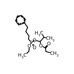 CCOP(=O)(CCCCc1ccccc1)OC(OC(=O)CC)C(C)C